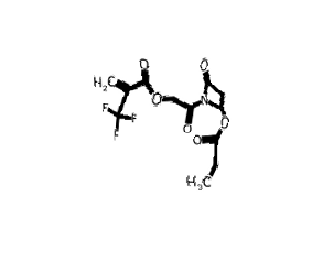 C=C(C(=O)OCC(=O)N1C(=O)CC1OC(=O)CC)C(F)(F)F